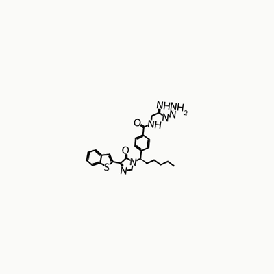 CCCCC[C@H](c1ccc(C(=O)NCC(=N)/N=N\N)cc1)N1CN=C(c2cc3ccccc3s2)C1=O